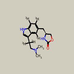 [2H]c1c(C[C@H]2COC(=O)N2)c([2H])c2c(C([2H])([2H])CN(C)C)c[nH]c2c1[2H]